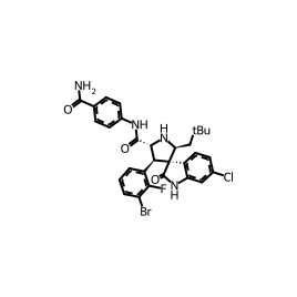 CC(C)(C)C[C@@H]1N[C@@H](C(=O)Nc2ccc(C(N)=O)cc2)[C@H](c2cccc(Br)c2F)[C@]12C(=O)Nc1cc(Cl)ccc12